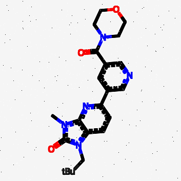 Cn1c(=O)n(CC(C)(C)C)c2ccc(-c3cncc(C(=O)N4CCOCC4)c3)nc21